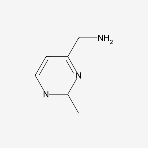 Cc1nccc(CN)n1